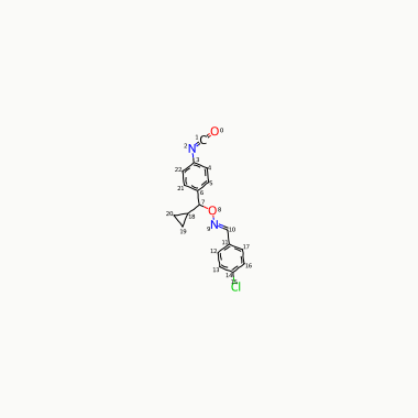 O=C=Nc1ccc(C(ON=Cc2ccc(Cl)cc2)C2CC2)cc1